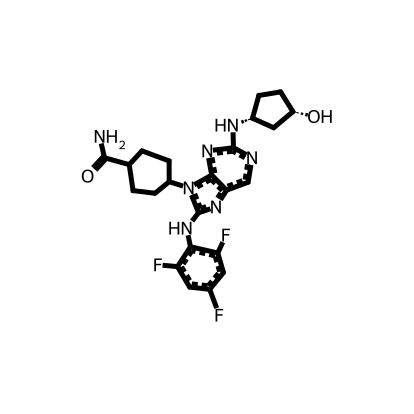 NC(=O)C1CCC(n2c(Nc3c(F)cc(F)cc3F)nc3cnc(N[C@@H]4CC[C@H](O)C4)nc32)CC1